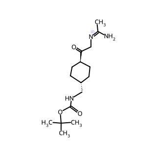 C/C(N)=N/CC(=O)[C@H]1CC[C@H](CNC(=O)OC(C)(C)C)CC1